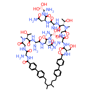 CC(CCc1ccc(-c2ccc(C(=O)N[C@H](N)C(=O)NCC(=O)N(C)[C@H](C(=O)N[C@@H](N)C(=O)N[C@@H](CC(N)=O)C(=O)N[C@@H](N)B(O)O)C(C)O)cc2)cc1)C(C)CCc1ccc(-c2ccc(C(=O)N[C@H](CO)C(=O)N[C@H](N)C(=O)NCC(=O)N(C)[C@H](C(=O)N[C@@H](N)C(=O)N[C@@H](CC(N)=O)C(=O)N[C@@H](N)B(O)O)C(C)O)cc2)cc1